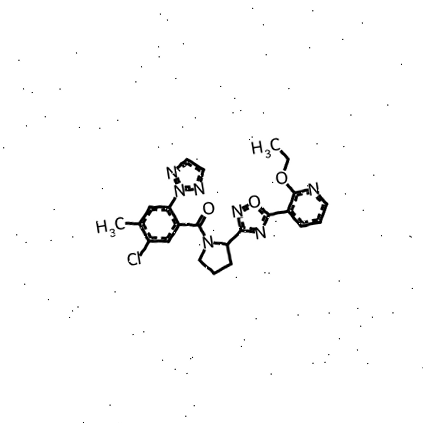 CCOc1ncccc1-c1nc(C2CCCN2C(=O)c2cc(Cl)c(C)cc2-n2nccn2)no1